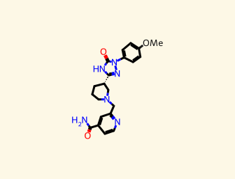 COc1ccc(-n2nc([C@H]3CCCN(Cc4cc(C(N)=O)ccn4)C3)[nH]c2=O)cc1